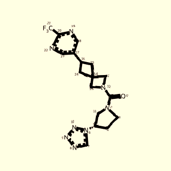 O=C(N1CC[C@H](n2cnnn2)C1)N1CC2(CC(c3cnc(C(F)(F)F)nc3)C2)C1